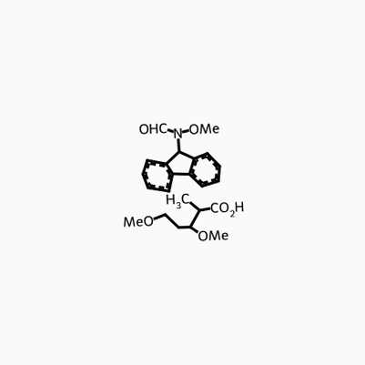 COCCC(OC)C(C)C(=O)O.CON(C=O)C1c2ccccc2-c2ccccc21